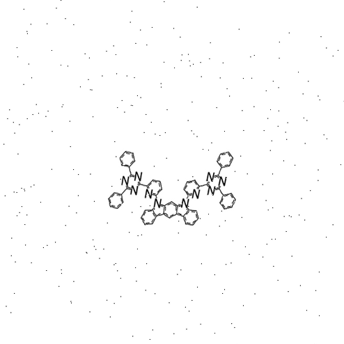 c1ccc(-c2nc(-c3ccccc3)nc(-c3cccc(-n4c5ccccc5c5cc6c7ccccc7n(-c7cccc(-c8nc(-c9ccccc9)nc(-c9ccccc9)n8)n7)c6cc54)n3)n2)cc1